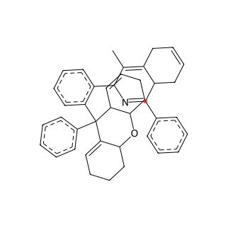 CC1=C2CC=CCC2C(c2ccccc2)=NC1c1ccccc1C1(c2ccccc2)C2=CCCCC2OC2CCC=CC21